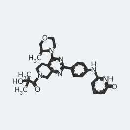 CC1COCCN1c1nc(-c2ccc(Nc3cccc(=O)[nH]3)cc2)nc2c1CCN(C(=O)C(C)(C)O)C2